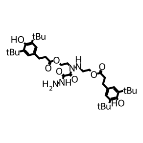 CC(C)(C)c1cc(CCC(=O)OCCNN(CCOC(=O)CCc2cc(C(C)(C)C)c(O)c(C(C)(C)C)c2)C(=O)C(=O)NN)cc(C(C)(C)C)c1O